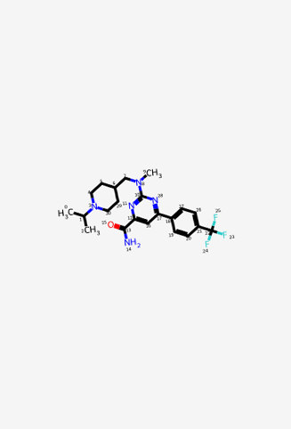 CC(C)N1CCC(CN(C)c2nc(C(N)=O)cc(-c3ccc(C(F)(F)F)cc3)n2)CC1